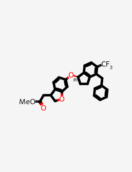 COC(=O)CC1COc2cc(O[C@@H]3CCc4c3ccc(C(F)(F)F)c4Cc3ccccc3)ccc21